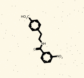 O=C(O)c1ccc(CCNC(=O)c2cccc([N+](=O)[O-])c2)cc1